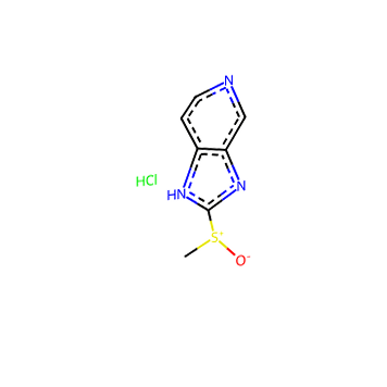 C[S+]([O-])c1nc2cnccc2[nH]1.Cl